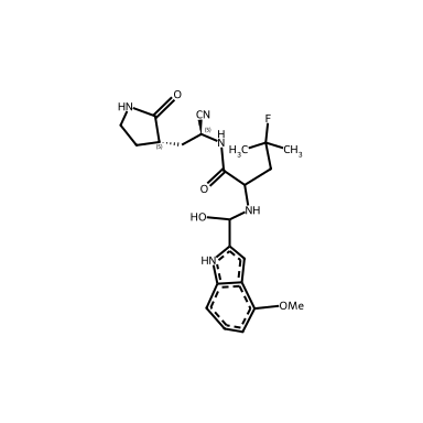 COc1cccc2[nH]c(C(O)NC(CC(C)(C)F)C(=O)N[C@H](C#N)C[C@@H]3CCNC3=O)cc12